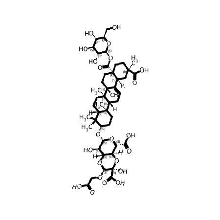 CC1(C)[C@@H](O[C@@H]2O[C@H](C(=O)O)[C@H]3O[C@@](O)(C(=O)O)[C@@H](OCC(=O)O)O[C@@H]3[C@H]2O)CC[C@]2(C)[C@H]3CC=C4[C@@H]5C[C@](C)(C(=O)O)CC[C@]5(C(=O)O[C@@H]5O[C@H](CO)[C@@H](O)[C@H](O)[C@H]5O)CC[C@@]4(C)[C@]3(C)CC[C@@H]12